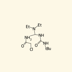 CCN(CC)C(C)NC(=O)NC(C)(C)C.NC(=O)CCl